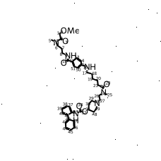 COCC(=O)N(C)CCCNC(=O)c1ccc(NCCCCCC(=O)N(C)CCN2CCC(OC(=O)Nc3ccccc3-c3ccccc3)CC2)cc1